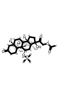 CC(=O)OCC(=O)[C@@]1(O)CC[C@H]2[C@@H]3CC[C@H]4CC(=O)CC[C@]4(C)[C@@]3(F)[C@@H](O[Si](C)(C)C)C[C@@]21C